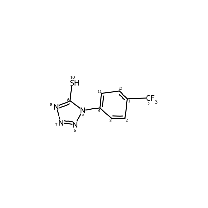 FC(F)(F)c1ccc(-n2nnnc2S)cc1